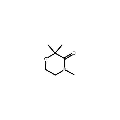 CN1CCOC(C)(C)C1=O